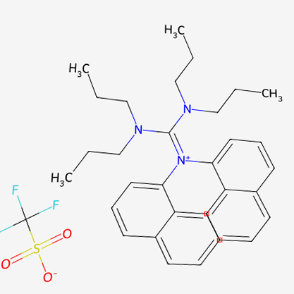 CCCN(CCC)C(N(CCC)CCC)=[N+](c1cccc2ccccc12)c1cccc2ccccc12.O=S(=O)([O-])C(F)(F)F